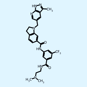 Cc1n[nH]c2ncc(CN3CCc4ccc(C(=O)Nc5cc(C(=O)NCCN(C)C)cc(C(F)(F)F)c5)cc43)cc12